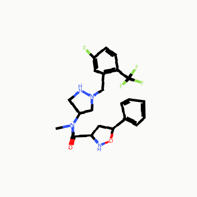 CN(C(=O)C1CC(c2ccccc2)ON1)C1CNN(Cc2cc(F)ccc2C(F)(F)F)C1